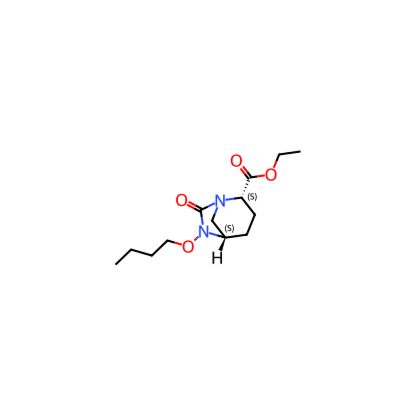 CCCCON1C(=O)N2C[C@@H]1CC[C@H]2C(=O)OCC